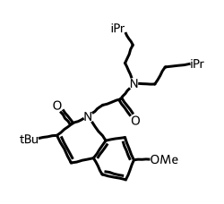 COc1ccc2cc(C(C)(C)C)c(=O)n(CC(=O)N(CCC(C)C)CCC(C)C)c2c1